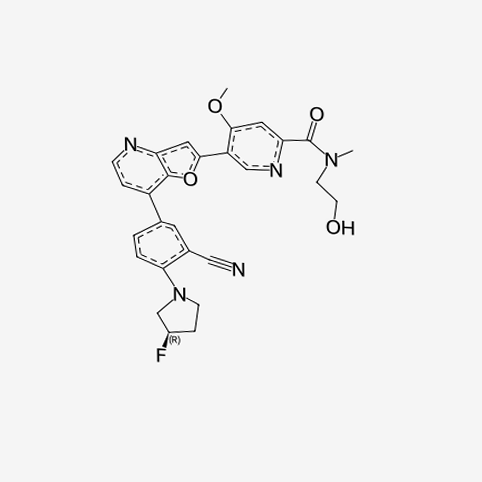 COc1cc(C(=O)N(C)CCO)ncc1-c1cc2nccc(-c3ccc(N4CC[C@@H](F)C4)c(C#N)c3)c2o1